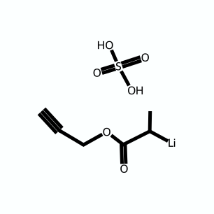 O=S(=O)(O)O.[Li][CH](C)C(=O)OCC#C